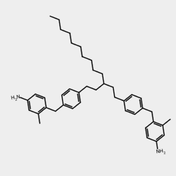 CCCCCCCCCCC(CCc1ccc(Cc2ccc(N)cc2C)cc1)CCc1ccc(Cc2ccc(N)cc2C)cc1